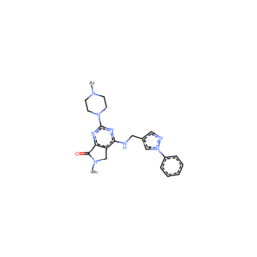 CCC(C)N1Cc2c(NCc3cnn(-c4ccccc4)c3)nc(N3CCN(C(C)=O)CC3)nc2C1=O